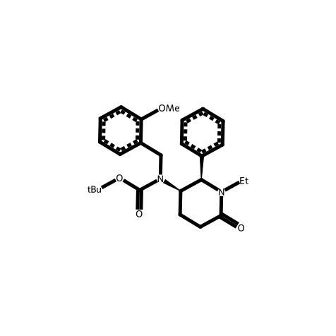 CCN1C(=O)CC[C@@H](N(Cc2ccccc2OC)C(=O)OC(C)(C)C)[C@H]1c1ccccc1